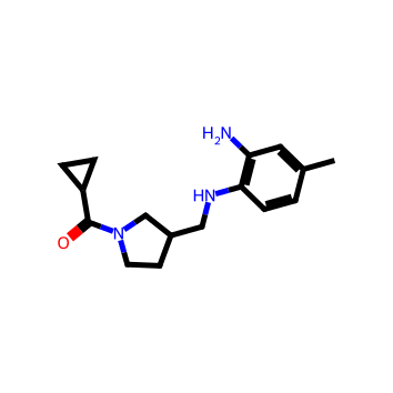 Cc1ccc(NCC2CCN(C(=O)C3CC3)C2)c(N)c1